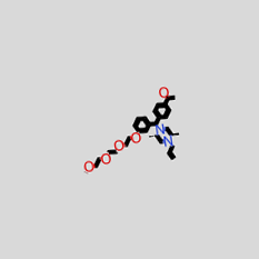 C=CCN1C[C@H](C)N([C@H](c2ccc(C(C)=O)cc2)c2cccc(OCCOCCOCCOC)c2)C[C@H]1C